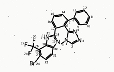 Cn1cnnc1-c1c(-c2ccccc2)cccc1-c1nc2ccc(Br)c(C(F)(F)F)c2[nH]1